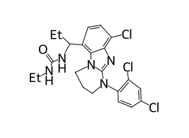 CCNC(=O)NC(CC)c1ccc(Cl)c2nc3n(c12)CCCN3c1ccc(Cl)cc1Cl